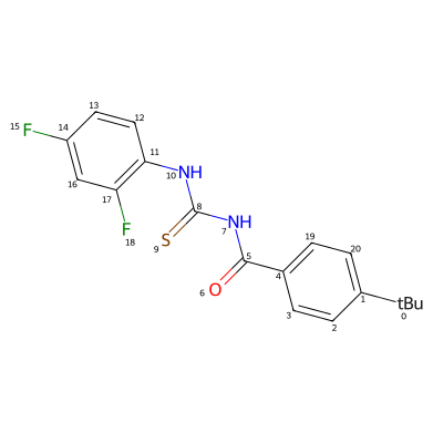 CC(C)(C)c1ccc(C(=O)NC(=S)Nc2ccc(F)cc2F)cc1